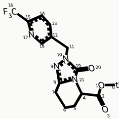 CC(C)(C)OC(=O)C1CCCc2nn(Cc3ccc(C(F)(F)F)nc3)c(=O)n21